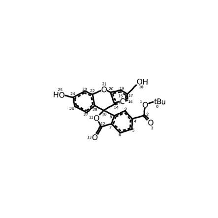 CC(C)(C)OC(=O)c1ccc2c(c1)C1(OC2=O)c2ccc(O)cc2Oc2cc(O)ccc21